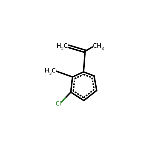 C=C(C)c1cccc(Cl)c1C